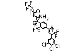 NN(CC(=O)NCC(F)(F)F)C(=O)c1ccc(C(F)=CC(c2cc(Cl)c(Cl)c(Cl)c2)C(F)(F)F)cc1C(F)(F)F